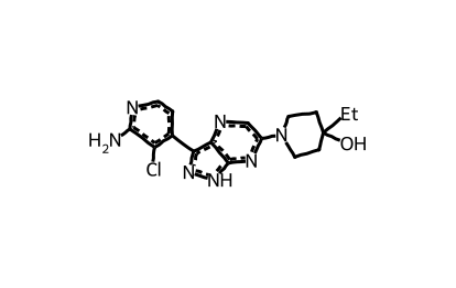 CCC1(O)CCN(c2cnc3c(-c4ccnc(N)c4Cl)n[nH]c3n2)CC1